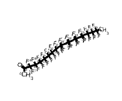 CC(=O)C(F)(F)C(F)(F)C(F)(F)C(F)(F)C(F)(F)C(F)(F)C(F)(F)C(F)(F)C(F)(F)C(F)(F)C(F)(F)C(F)(F)C(F)(F)C(C)(F)F